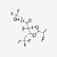 C=C(F)C(=O)OC(CC(F)(F)F)C(F)(F)C(=O)OCC(F)(F)S